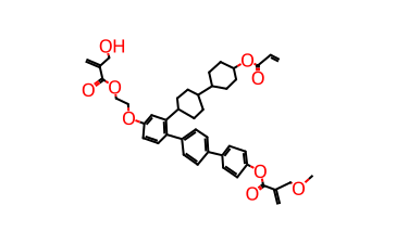 C=CC(=O)OC1CCC(C2CCC(c3cc(OCCOC(=O)C(=C)CO)ccc3-c3ccc(-c4ccc(OC(=O)C(=C)COC)cc4)cc3)CC2)CC1